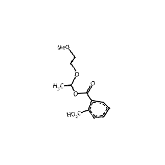 COCCOC(C)OC(=O)c1ccccc1C(=O)O